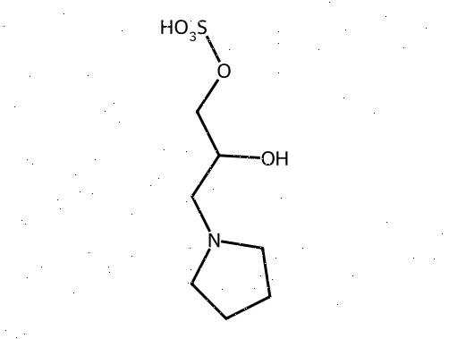 O=S(=O)(O)OCC(O)CN1CCCC1